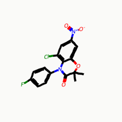 CC1(C)Oc2cc([N+](=O)[O-])cc(Cl)c2N(c2ccc(F)cc2)C1=O